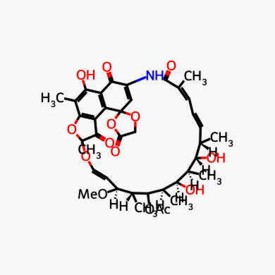 CO[C@H]1/C=C/O[C@@]2(C)Oc3c(C)c(O)c4c(c3C2=O)C2(C=C(NC(=O)/C(C)=C\C=C\[C@H](C)[C@H](O)[C@@H](C)[C@@H](O)[C@@H](C)C(OC(C)=O)[C@@H]1C)C4=O)OCC(=O)O2